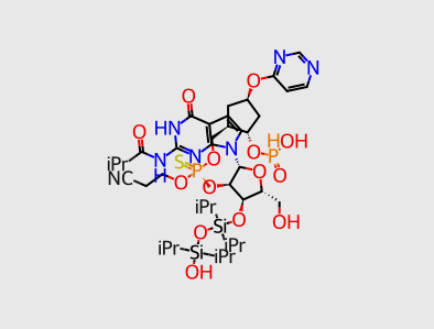 CC(C)C(=O)Nc1nc2c(ccn2[C@@H]2O[C@H](CO)[C@@H](O[Si](O[Si](O)(C(C)C)C(C)C)(C(C)C)C(C)C)[C@H]2O[P@](=S)(OCCC#N)OC[C@H]2C[C@@H](Oc3ccncn3)C[C@@H]2O[PH](=O)O)c(=O)[nH]1